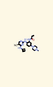 C=CC(=O)Nc1cc(N2CCN(C)CC2)ccc1Nc1ncc(C#N)c(NC23CC(C2)C3)n1